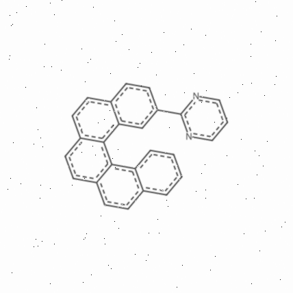 c1cnc(-c2ccc3ccc4ccc5ccc6ccccc6c5c4c3c2)nc1